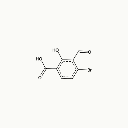 O=Cc1c(Br)ccc(C(=O)O)c1O